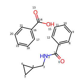 O=C(NCC1CC1)c1ccccc1.O=C(O)c1ccccc1